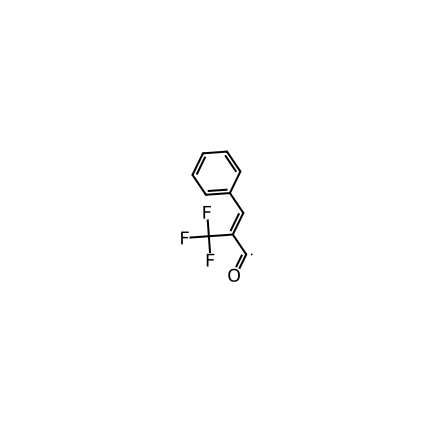 O=[C]C(=Cc1ccccc1)C(F)(F)F